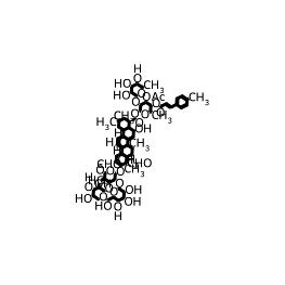 CC(=O)OC1C(OC(=O)/C=C/c2ccc(C)cc2)C(C)OC(OC(=O)[C@@H]2CC(C)(C)C[C@@H]3C2[C@H](O)C[C@]2(C)C3C=C[C@@H]3[C@@]4(C)CC[C@H](OC5OC(OC=O)C(O)C(OC6OCC(O)C(O)C6O)C5OC5OC(CO)C(O)C(O)C5O)[C@@](C)(C=O)[C@@H]4CC[C@]32C)C1OC1OC(C)C(O)C(O)C1O